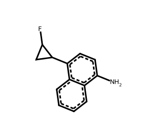 Nc1ccc(C2CC2F)c2ccccc12